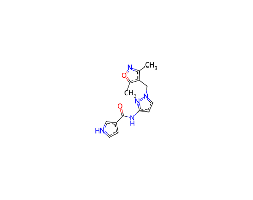 Cc1noc(C)c1Cn1ccc(NC(=O)c2cc[nH]c2)n1